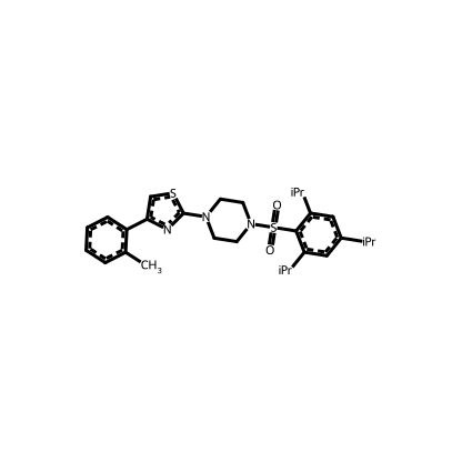 Cc1ccccc1-c1csc(N2CCN(S(=O)(=O)c3c(C(C)C)cc(C(C)C)cc3C(C)C)CC2)n1